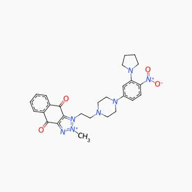 C[n+]1nc2c(n1CCN1CCN(c3ccc([N+](=O)[O-])c(N4CCCC4)c3)CC1)C(=O)c1ccccc1C2=O